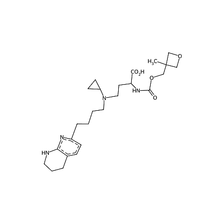 CC1(COC(=O)NC(CCN(CCCCc2ccc3c(n2)NCCC3)C2CC2)C(=O)O)COC1